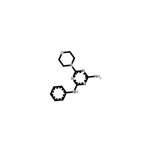 Nc1nc(Nc2ccccc2)nc(N2CCOCC2)n1